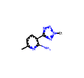 CCn1nnc(-c2ccc(C)nc2N)n1